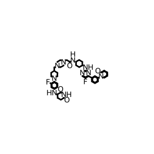 O=C1CCC(Nc2ccc(N3CCC(CN4CCN(CC(=O)N[C@H]5CC[C@H](Nc6ncc(F)c(-c7cccc(-n8ccccc8=O)c7)n6)CC5)CC4)CC3)c(F)c2)C(=O)N1